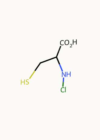 O=C(O)C(CS)NCl